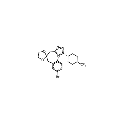 FC(F)(F)[C@H]1CC[C@H](c2nnc3n2-c2ccc(Br)cc2CC2(C3)OCCO2)CC1